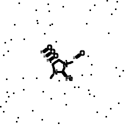 CN1CCN(C)[C]1=[Fe].[C]=O.[C]=O.[C]=O.[C]=O